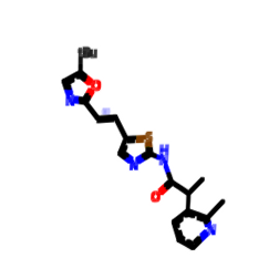 Cc1ncccc1C(C)C(=O)Nc1ncc(/C=C/c2ncc(C(C)(C)C)o2)s1